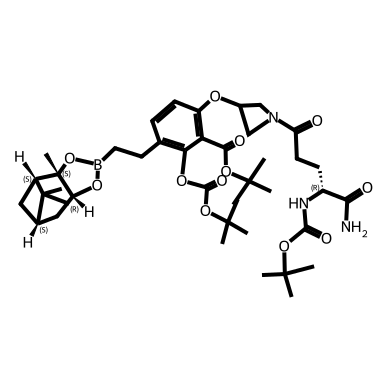 CC(C)(C)OC(=O)N[C@H](CCC(=O)N1CC(Oc2ccc(CCB3O[C@@H]4C[C@@H]5C[C@@H](C5(C)C)[C@]4(C)O3)c(OC(=O)OC(C)(C)C)c2C(=O)OC(C)(C)C)C1)C(N)=O